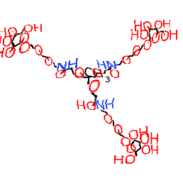 CC(COCCC(=O)NCCOCCOCCO[C@H]1OC(CO)[C@@H](O)C(O)C1O)(COCCC(=O)NCCOCCOCCO[C@H]1OC(CO)[C@@H](O)C(O)C1O)COCCC(O)NCCOCCOCCO[C@H]1OC(CO)[C@@H](O)C(O)C1O